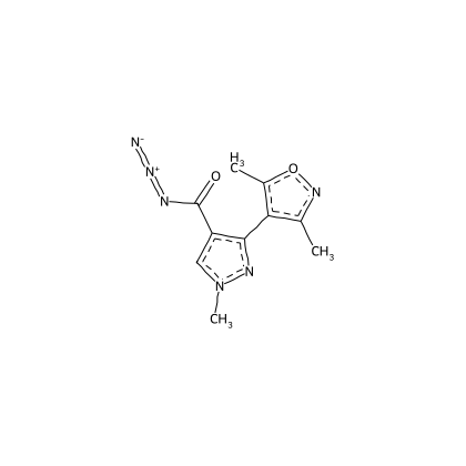 Cc1noc(C)c1-c1nn(C)cc1C(=O)N=[N+]=[N-]